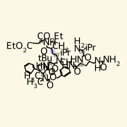 CCOC(=O)CC[C@@H](NC(=O)/C(C)=C/[C@H](C(C)C)N(C)C(=O)[C@@H](NC(=O)[C@@H](N(C)C(=O)OCc1ccc(NC(=O)[C@H](CCCNC(N)=O)NC(=O)[C@@H](N)C(C)C)cc1)C(C)(C)c1ccccc1)C(C)(C)C)C(=O)OCC